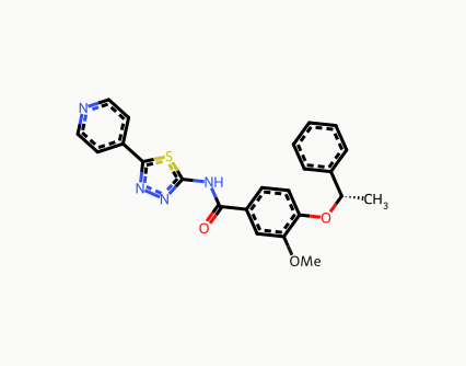 COc1cc(C(=O)Nc2nnc(-c3ccncc3)s2)ccc1O[C@@H](C)c1ccccc1